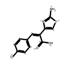 Nc1nc(C(=Cc2ccc(Cl)cc2)C(=O)O)cs1